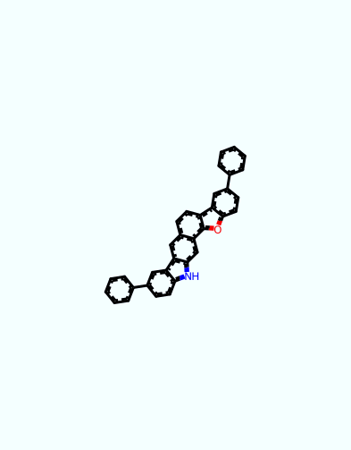 c1ccc(-c2ccc3[nH]c4cc5c(ccc6c7cc(-c8ccccc8)ccc7oc56)cc4c3c2)cc1